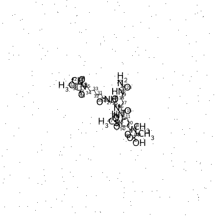 C[C@@H](C(=O)O)N(C)C(=O)c1ccc(NC(=O)C(CCCNC(N)=O)NC(=O)CNC(=O)CCCCCN2C(=O)CC(C)(C)C2=O)c(S(C)(=O)=O)c1